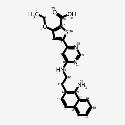 CCOc1cc(-c2cc(NCCc3ccc4ccccc4c3N)ncn2)sc1C(=O)O